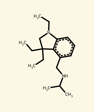 CCN1CC(CC)(CC)c2c(CNC(C)C)cccc21